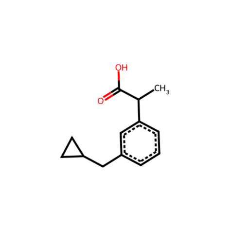 CC(C(=O)O)c1cccc(CC2CC2)c1